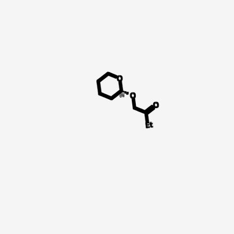 CCC(=O)CO[C@@H]1CCCCO1